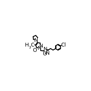 Cc1c(N2CCCC2)cnn(Cc2nc(CCc3ccc(Cl)cc3)no2)c1=O